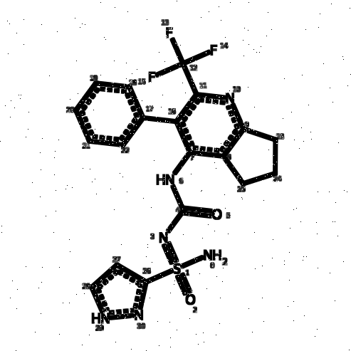 NS(=O)(=NC(=O)Nc1c2c(nc(C(F)(F)F)c1-c1ccccc1)CCC2)c1cc[nH]n1